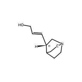 OCC=C[C@@H]1CN2CCC1CC2